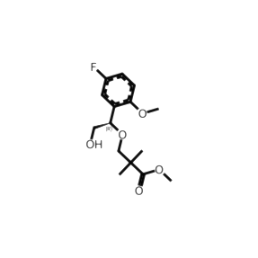 COC(=O)C(C)(C)CO[C@@H](CO)c1cc(F)ccc1OC